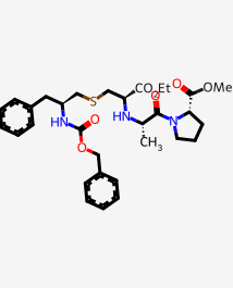 CCOC(=O)[C@H](CSC[C@H](Cc1ccccc1)NC(=O)OCc1ccccc1)N[C@@H](C)C(=O)N1CCC[C@H]1C(=O)OC